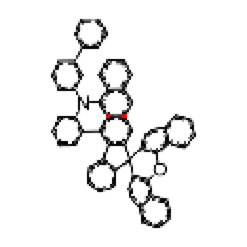 c1ccc(-c2cccc(N(c3ccccc3-c3cccc4c3-c3ccccc3C43c4ccc5ccccc5c4Oc4c3ccc3ccccc43)c3cccc4ccccc34)c2)cc1